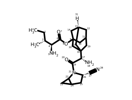 CC[C@@H](C)[C@H](N)C(=O)OC12CC3C[C@H](C1)CC([C@H](N)C(=O)N1C4CC4C[C@H]1C#N)(C3)C2